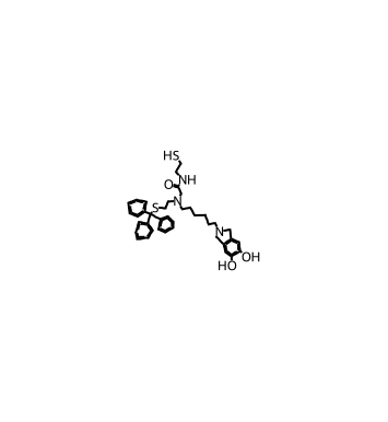 O=C(CN(CCCCCCN1Cc2cc(O)c(O)cc2C1)CCSC(c1ccccc1)(c1ccccc1)c1ccccc1)NCCS